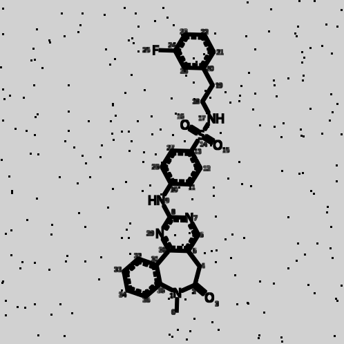 CN1C(=O)Cc2cnc(Nc3ccc(S(=O)(=O)NCCc4cccc(F)c4)cc3)nc2-c2ccccc21